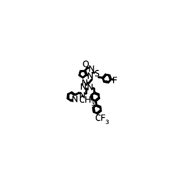 CN(Cc1ccccn1)Cc1nnc(Cn2c(SCc3ccc(F)cc3)nc(=O)c3c2CCC3)n1Cc1ccc(-c2ccc(C(F)(F)F)cc2)cc1